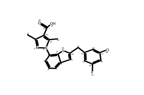 Cc1nn(-c2cccc3cc(Cc4cc(F)cc(Cl)c4)sc23)c(C)c1C(=O)O